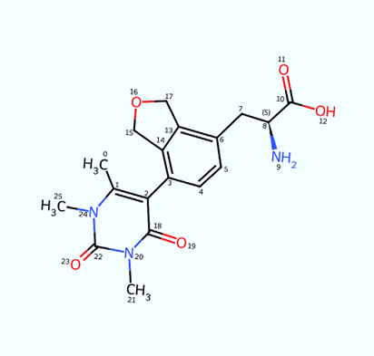 Cc1c(-c2ccc(C[C@H](N)C(=O)O)c3c2COC3)c(=O)n(C)c(=O)n1C